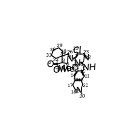 COC(=O)C1CN(c2nc(Nc3cc4c(cc3OC)CCN(C)C4)ncc2Cl)CC12CCCCC2